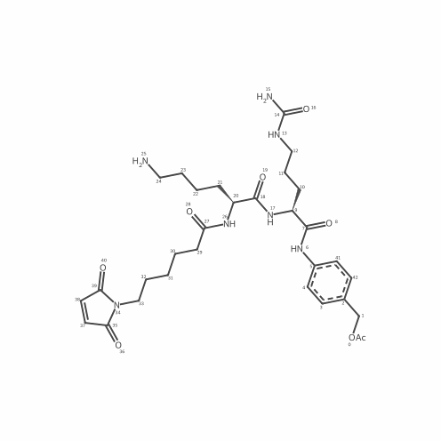 CC(=O)OCc1ccc(NC(=O)[C@H](CCCNC(N)=O)NC(=O)[C@H](CCCCN)NC(=O)CCCCCN2C(=O)C=CC2=O)cc1